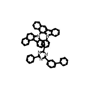 c1ccc(-c2cccc(-c3nc(-c4ccccc4)nc(-c4ccc(-n5c6ccccc6c6cc7ccccc7c(-n7c8ccccc8c8c9ccccc9ccc87)c65)cc4)n3)c2)cc1